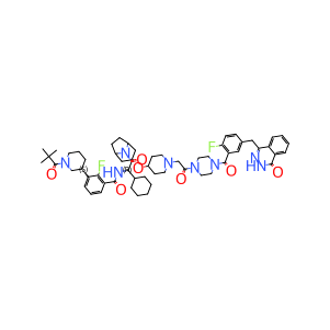 CC(C)(C)C(=O)N1CCC[C@@H](c2cccc(C(=O)N[C@@H](C(=O)N3C4CCC3CC(OC3CCN(CC(=O)N5CCN(C(=O)c6cc(Cc7n[nH]c(=O)c8ccccc78)ccc6F)CC5)CC3)C4)C3CCCCC3)c2F)C1